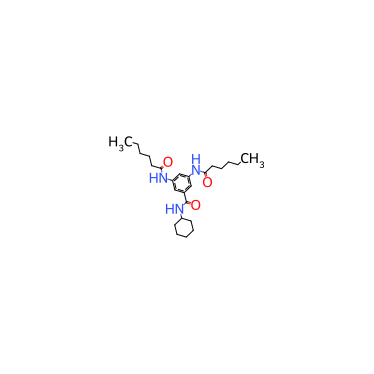 CCCCCC(=O)Nc1cc(NC(=O)CCCCC)cc(C(=O)NC2CCCCC2)c1